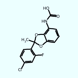 CC1(c2ccc(Cl)cc2F)Oc2cccc(NC(=O)O)c2O1